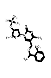 CC[C@H]1O[C@@H](n2cc(COC(C)c3ccccc3[N+](=O)[O-])c(N)nc2=O)CC1O[Si](C)(C)C(C)(C)C